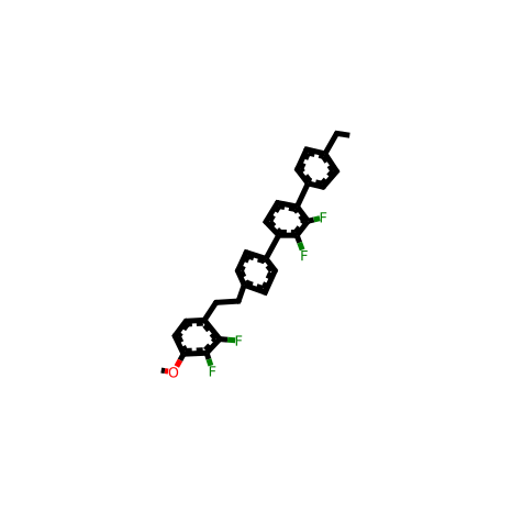 CCc1ccc(-c2ccc(-c3ccc(CCc4ccc(OC)c(F)c4F)cc3)c(F)c2F)cc1